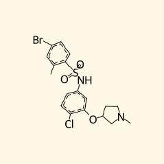 Cc1cc(Br)ccc1S(=O)(=O)Nc1ccc(Cl)c(OC2CCN(C)C2)c1